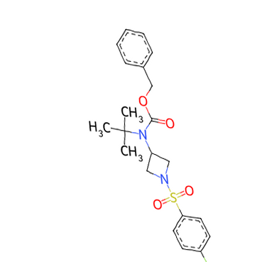 CC(C)(C)N(C(=O)OCc1ccccc1)C1CN(S(=O)(=O)c2ccc(F)cc2)C1